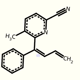 C=C/C=C(/c1ccccc1)c1nc(C#N)ccc1C